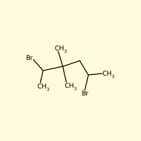 CC(Br)CC(C)(C)C(C)Br